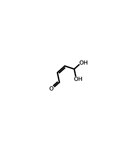 O=C/C=C\C(O)O